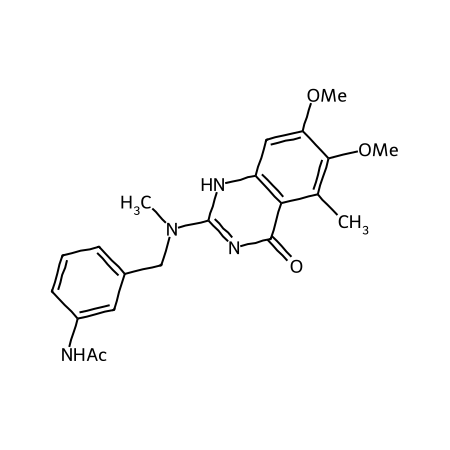 COc1cc2[nH]c(N(C)Cc3cccc(NC(C)=O)c3)nc(=O)c2c(C)c1OC